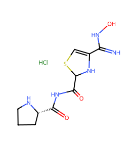 Cl.N=C(NO)C1=CSC(C(=O)NC(=O)[C@@H]2CCCN2)N1